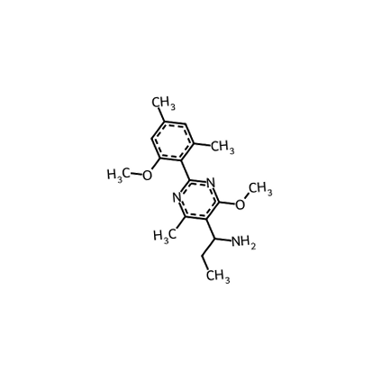 CCC(N)c1c(C)nc(-c2c(C)cc(C)cc2OC)nc1OC